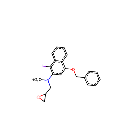 O=C(O)N(CC1CO1)c1cc(OCc2ccccc2)c2ccccc2c1I